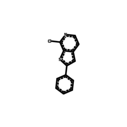 Clc1nccc2cc(-c3ccccc3)sc12